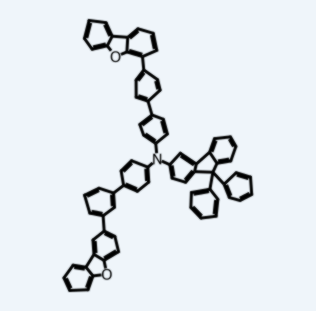 c1ccc(C2(c3ccccc3)c3ccccc3-c3cc(N(c4ccc(-c5ccc(-c6cccc7c6oc6ccccc67)cc5)cc4)c4ccc(-c5cccc(-c6ccc7oc8ccccc8c7c6)c5)cc4)ccc32)cc1